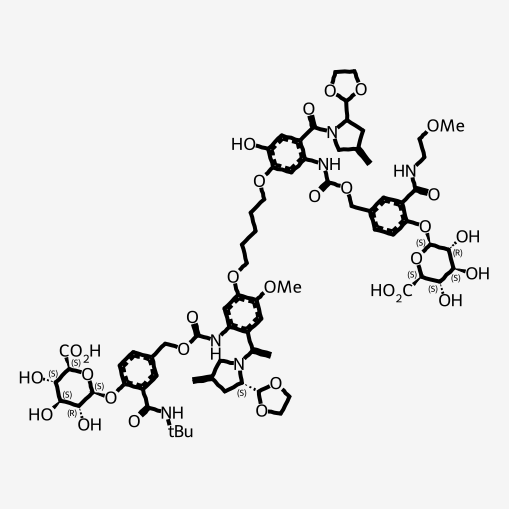 C=C1CC(C2OCCO2)N(C(=O)c2cc(O)c(OCCCCCOc3cc(NC(=O)OCc4ccc(O[C@@H]5O[C@H](C(=O)O)[C@@H](O)[C@H](O)[C@H]5O)c(C(=O)NC(C)(C)C)c4)c(C(=C)N4CC(=C)C[C@H]4C4OCCO4)cc3OC)cc2NC(=O)OCc2ccc(O[C@@H]3O[C@H](C(=O)O)[C@@H](O)[C@H](O)[C@H]3O)c(C(=O)NCCOC)c2)C1